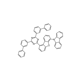 c1ccc(-c2cccc(-c3nc(-c4cccc(-c5ccccc5)c4)nc(-c4cccc5oc6c(-n7c8ccccc8c8ccccc87)cccc6c45)n3)c2)cc1